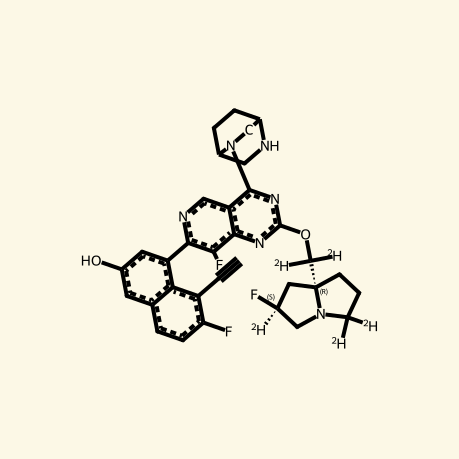 [2H]C1([2H])CC[C@]2(C([2H])([2H])Oc3nc(N4CC5CCC4CN5)c4cnc(-c5cc(O)cc6ccc(F)c(C#C)c56)c(F)c4n3)C[C@]([2H])(F)CN12